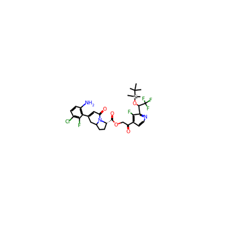 CC(C)(C)[Si](C)(C)OC(c1nccc(C(=O)COC(=O)[C@@H]2CCC3CC(c4c(N)ccc(Cl)c4F)=CC(=O)N32)c1F)C(F)(F)F